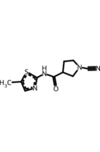 Cc1cnc(NC(=O)C2CCN(C#N)C2)s1